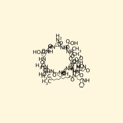 CCC(C)CCCCCCCCC(=O)NC(Cc1c[nH]c2ccccc12)C(=O)NC(CC(N)=O)C(=O)NC(CC(=O)O)C(=O)NC1C(=O)NCC(=O)NC(CCCN)C(=O)NC(CC(=O)O)C(=O)NC(C)C(=O)NC(CC(=O)O)C(=O)NCC(=O)NC(CC(N)=O)C(=O)NC(CCC(=O)O)C(=O)NC(C(C)CC)C(=O)OC1C